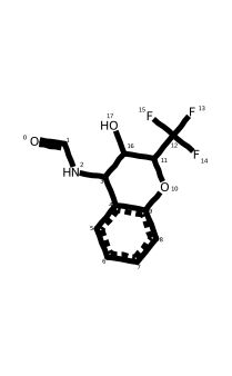 O=CNC1c2ccccc2OC(C(F)(F)F)C1O